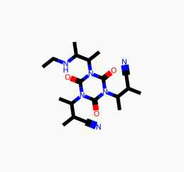 CCNC(C)C(C)n1c(=O)n(C(C)C(C)C#N)c(=O)n(C(C)C(C)C#N)c1=O